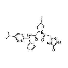 CC(C)c1ccc(C(NC(=O)C2CC(F)CN2C(=O)Cc2n[nH]c(=O)[nH]2)c2ccccc2)nc1